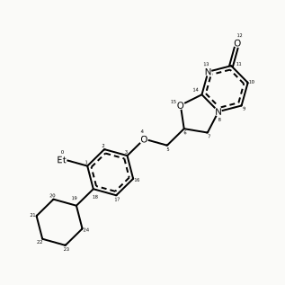 CCc1cc(OCC2Cn3ccc(=O)nc3O2)ccc1C1CCCCC1